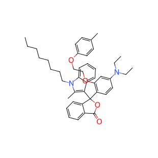 CCCCCCCCn1c(C)c(C2(c3ccc(N(CC)CC)cc3OCCOc3ccc(C)cc3)OC(=O)c3ccccc32)c2ccccc21